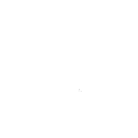 c1cncc(-c2cccc(-c3cc4c5c(cccc5c3)-c3ccccc3-4)c2)c1